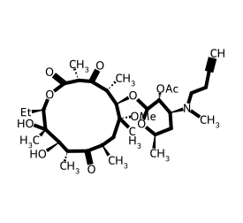 C#CCCN(C)[C@H]1C[C@@H](C)OC(O[C@@H]2[C@@H](C)C(=O)[C@@H](C)C(=O)O[C@H](CC)[C@@](C)(O)[C@H](O)[C@@H](C)C(=O)[C@H](C)C[C@@]2(C)OC)[C@@H]1OC(C)=O